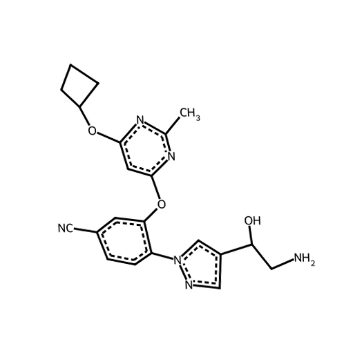 Cc1nc(Oc2cc(C#N)ccc2-n2cc(C(O)CN)cn2)cc(OC2CCC2)n1